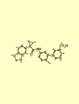 Cc1ccc(NC(=O)C2(c3ccc4c(c3)OCO4)CC2)cc1-c1cncc(C(=O)O)c1